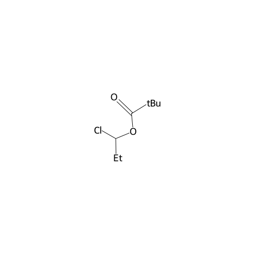 CCC(Cl)OC(=O)C(C)(C)C